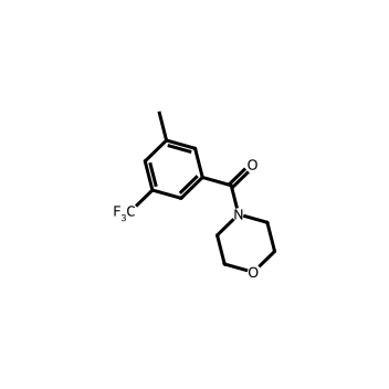 Cc1cc(C(=O)N2CCOCC2)cc(C(F)(F)F)c1